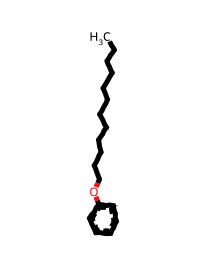 CCCCCCCCCCCCOc1[c]cccc1